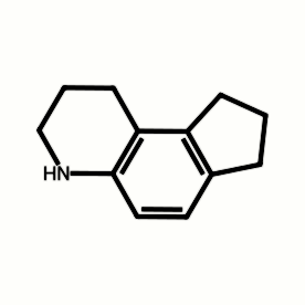 c1cc2c(c3c1CCC3)CCCN2